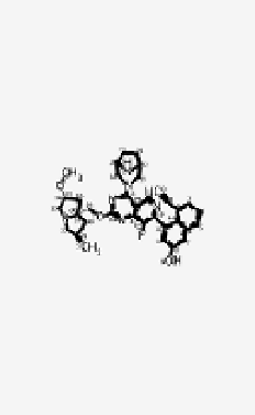 C#Cc1cccc2cc(O)cc(-c3ncc4c(N5CC6CCC(C5)N6)nc(OC[C@]56CC(=C)CN5C[C@H](OC)C6)nc4c3F)c12